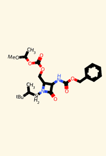 COC(C)OC(=O)OCC1C(NC(=O)OCc2ccccc2)C(=O)N1[SiH2]C(C)C(C)(C)C